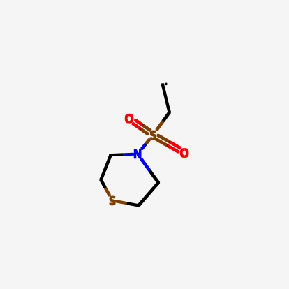 [CH2]CS(=O)(=O)N1CCSCC1